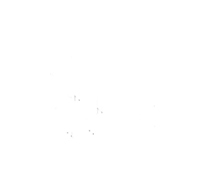 Fc1ccc(-c2ccc3ncnc(Nc4ccc5c(c4)OCO5)c3n2)cc1